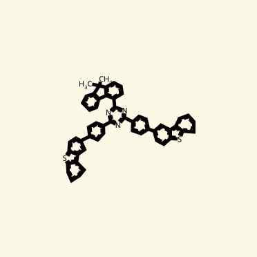 CC1(C)c2ccccc2-c2c(-c3nc(-c4ccc(-c5ccc6sc7ccccc7c6c5)cc4)nc(-c4ccc(-c5ccc6sc7ccccc7c6c5)cc4)n3)cccc21